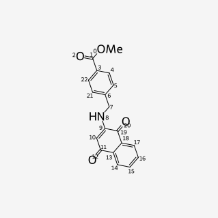 COC(=O)c1ccc(CNC2=CC(=O)c3ccccc3C2=O)cc1